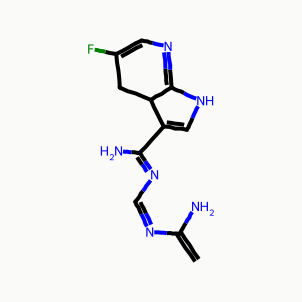 C=C(N)/N=C\N=C(/N)C1=CNC2=NC=C(F)CC12